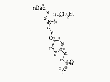 CCCCCCCCCCCCN(CCOc1ccc(CCC(=O)C(F)(F)F)cc1)CCC(=O)OCC